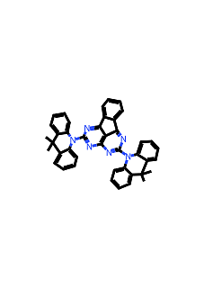 CC1(C)c2ccccc2N(c2nc3c4c(nc(N5c6ccccc6C(C)(C)c6ccccc65)nc4n2)-c2ccccc2-3)c2ccccc21